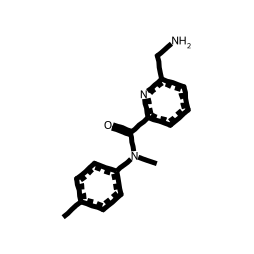 Cc1ccc(N(C)C(=O)c2cccc(CN)n2)cc1